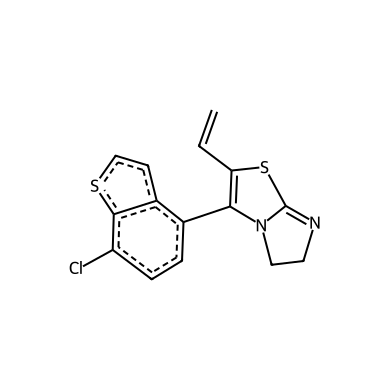 C=CC1=C(c2ccc(Cl)c3sccc23)N2CCN=C2S1